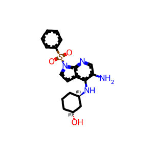 Nc1cnc2c(ccn2S(=O)(=O)c2ccccc2)c1N[C@@H]1CCC[C@@H](O)C1